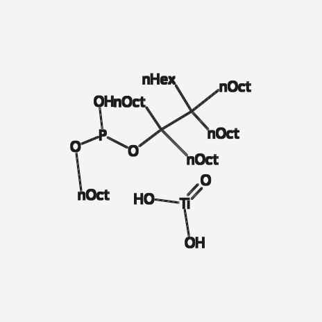 CCCCCCCCOP(O)OC(CCCCCCCC)(CCCCCCCC)C(CCCCCC)(CCCCCCCC)CCCCCCCC.[O]=[Ti]([OH])[OH]